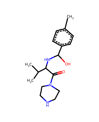 Cc1ccc(C(O)NC(C(=O)N2CCNCC2)C(C)C)cc1